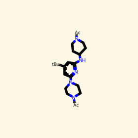 CC(=O)N1CCC(Nc2cc(C(C)(C)C)cc(N3CCN(C(C)=O)CC3)n2)CC1